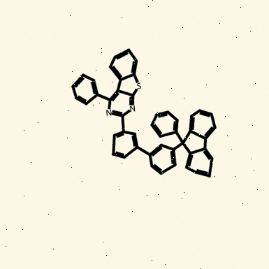 c1ccc(-c2nc(-c3cccc(-c4cccc(C5(c6ccccc6)c6ccccc6-c6ccccc65)c4)c3)nc3sc4ccccc4c23)cc1